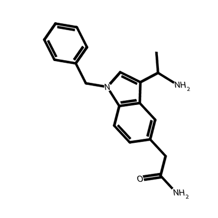 CC(N)c1cn(Cc2ccccc2)c2ccc(CC(N)=O)cc12